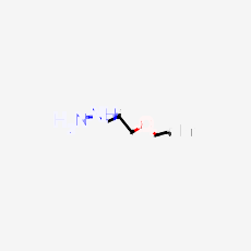 CCCCOCCCNN